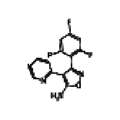 Nc1onc(-c2c(F)cc(F)cc2F)c1-c1ccncn1